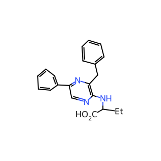 CCC(Nc1ncc(-c2ccccc2)nc1Cc1ccccc1)C(=O)O